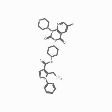 CCc1c(C(=O)N[C@H]2CC[C@@H](n3c(=O)c4cc(F)cnc4n(C4CCSCC4)c3=O)CC2)cnn1-c1ccccc1